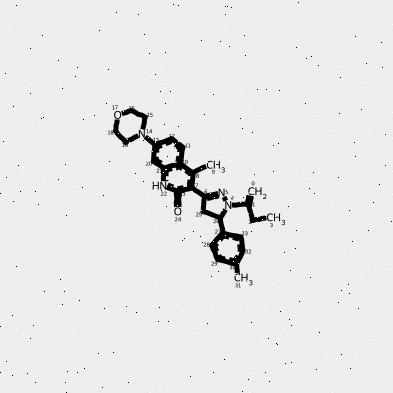 C=C(CC)N1N=C(c2c(C)c3ccc(N4CCOCC4)cc3[nH]c2=O)CC1c1ccc(C)cc1